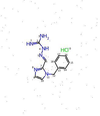 Cl.N=C(N)N/N=C/c1nccn1Cc1ccccc1